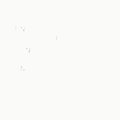 CCNC(=O)N1CCNCC1CCCCc1ccc(F)cc1.Cl